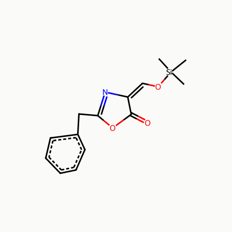 C[Si](C)(C)OC=C1N=C(Cc2ccccc2)OC1=O